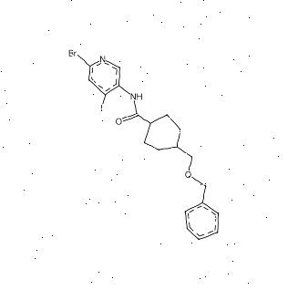 O=C(Nc1cnc(Br)cc1I)C1CCC(COCc2ccccc2)CC1